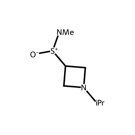 CN[S+]([O-])C1CN(C(C)C)C1